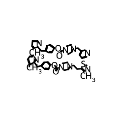 Cc1cccnc1Cc1ccc(OC(=O)N2CCN(CCc3scnc3C)CC2)cc1.Cc1cccnc1Cc1ccc(OC(=O)N2CCN(Cc3cccnc3)CC2)cc1